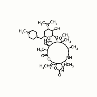 CC[C@H]1OC(=O)C(C)C(=O)[C@H](C)[C@@H](OC2OC(CN3CCN(C)CC3)CC(N(C)C)C2O)[C@](C)(OC)C[C@@H](C)CN[C@H](C)[C@H]2NC(=O)O[C@@]21C